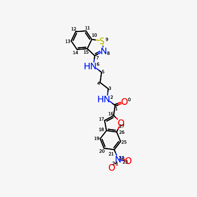 O=C(NCCCNc1nsc2ccccc12)c1cc2ccc([N+](=O)[O-])cc2o1